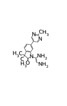 Cc1ncc(-c2ccc3c(c2)N(/C(N)=C/N)C(=O)C3(C)C)cn1